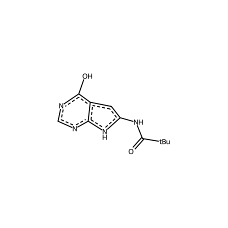 CC(C)(C)C(=O)Nc1cc2c(O)ncnc2[nH]1